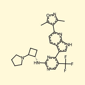 Cc1noc(C)c1-c1ccc2c(-c3nc(N[C@H]4CCC4N4CCCC4)ncc3C(F)(F)F)c[nH]c2n1